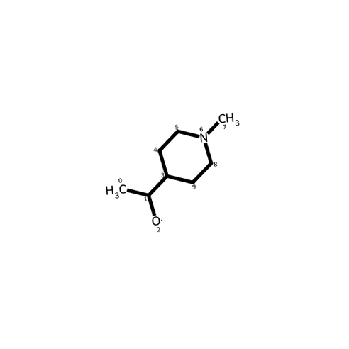 CC([O])C1CCN(C)CC1